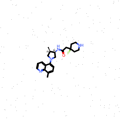 Cc1ccc(N2C[C@@H](C)[C@@H](NC(=O)CC3(F)CCNCC3)C2)c2cccnc12